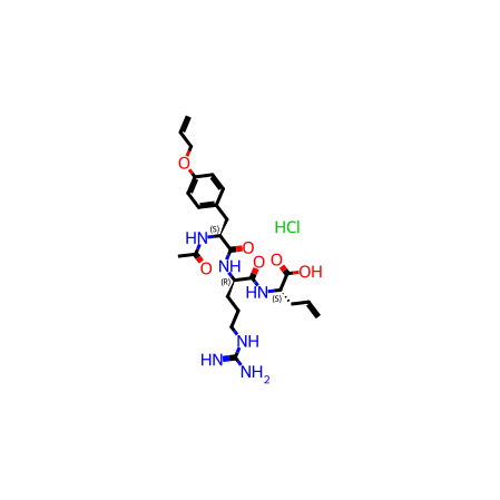 C=CCOc1ccc(C[C@H](NC(C)=O)C(=O)N[C@H](CCCNC(=N)N)C(=O)N[C@@H](CC=C)C(=O)O)cc1.Cl